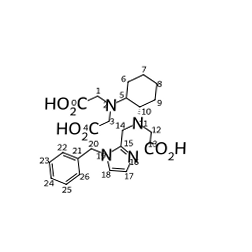 O=C(O)CN(CC(=O)O)C1CCCC[C@@H]1N(CC(=O)O)Cc1nccn1Cc1ccccc1